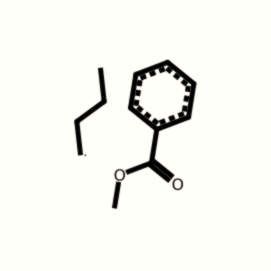 COC(=O)c1ccccc1.[CH2]CCC